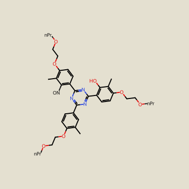 CCCOCCOc1ccc(-c2nc(-c3ccc(OCCOCCC)c(C)c3O)nc(-c3ccc(OCCOCCC)c(C)c3N=O)n2)cc1C